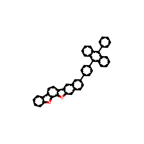 c1ccc(-c2c3ccccc3c(-c3ccc(-c4ccc5cc6oc7c(ccc8c9ccccc9oc87)c6cc5c4)cc3)c3ccccc23)cc1